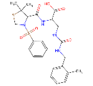 Cc1ccccc1CNC(=O)NCC(NC(=O)C1N(S(=O)(=O)c2ccccc2)CSC1(C)C)C(=O)O